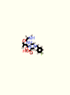 CN[C@@H](C)C(=O)N[C@H](C(=O)N1CCN(Cc2ccc(F)cc2)C[C@H]1C(=O)O)C(C)C